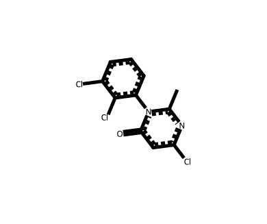 Cc1nc(Cl)cc(=O)n1-c1cccc(Cl)c1Cl